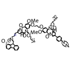 COc1cc2c(cc1OCCCOc1cc3c(cc1OC)C(=O)N1C=C(c4ccc(N5CCN(C)CC5)cc4)C[C@H]1C(=O)N3COCC[Si](C)(C)C)N(COCC[Si](C)(C)C)C(=O)[C@@H]1CC(/C=C/CN(CC3c4ccccc4-c4ccccc43)C(=O)O)=CN1C2=O